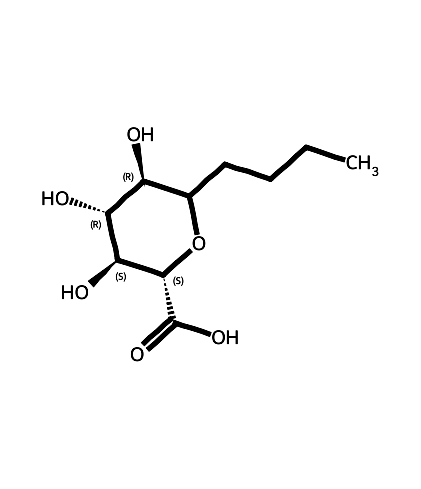 CCCCC1O[C@H](C(=O)O)[C@@H](O)[C@H](O)[C@H]1O